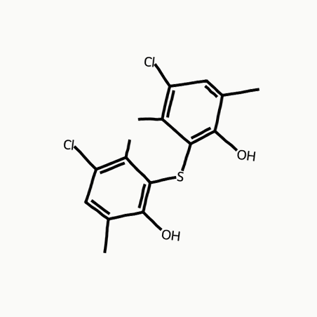 Cc1cc(Cl)c(C)c(Sc2c(C)c(Cl)cc(C)c2O)c1O